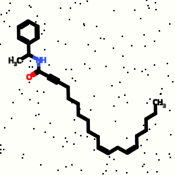 CCCCC/C=C\C/C=C\CCCCCCCC#CC(=O)NC(C)c1ccccc1